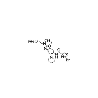 COCCN(C)c1nc2cc(N3CCCCC3)c(NC(=O)c3csc(Br)n3)cc2o1